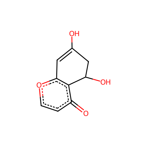 O=c1ccoc2c1C(O)CC(O)=C2